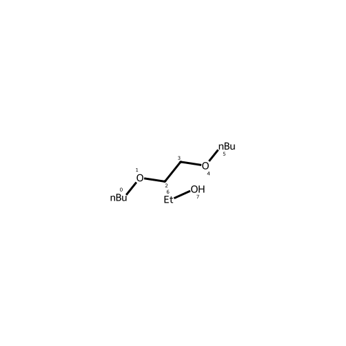 CCCCOCCOCCCC.CCO